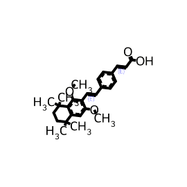 COc1cc2c(c(OC)c1/C=C/c1ccc(/C=C/C(=O)O)cc1)C(C)(C)CCC2(C)C